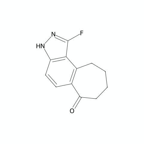 O=C1CCCCc2c1ccc1[nH]nc(F)c21